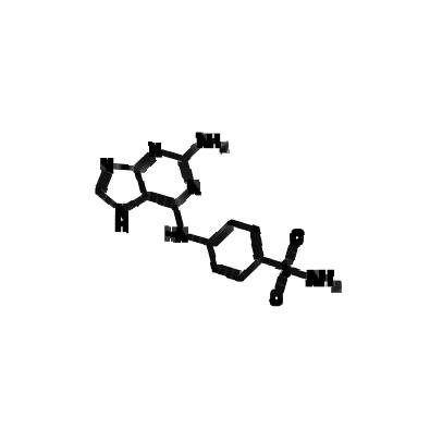 Nc1nc(Nc2ccc(S(N)(=O)=O)cc2)c2[nH]cnc2n1